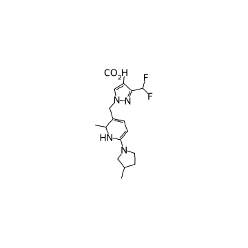 CC1CCN(C2=CC=C(Cn3cc(C(=O)O)c(C(F)F)n3)C(C)N2)C1